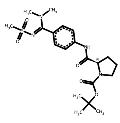 CN(C)C(=NS(C)(=O)=O)c1ccc(NC(=O)[C@H]2CCCN2C(=O)OC(C)(C)C)cc1